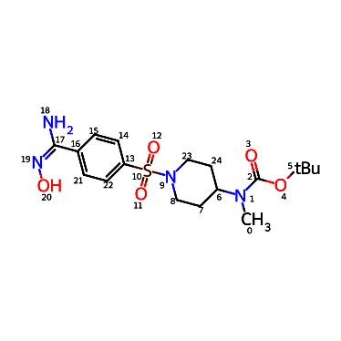 CN(C(=O)OC(C)(C)C)C1CCN(S(=O)(=O)c2ccc(/C(N)=N\O)cc2)CC1